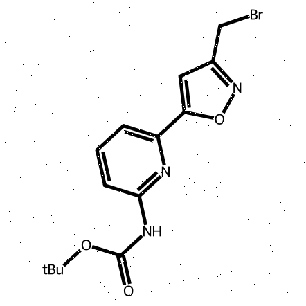 CC(C)(C)OC(=O)Nc1cccc(-c2cc(CBr)no2)n1